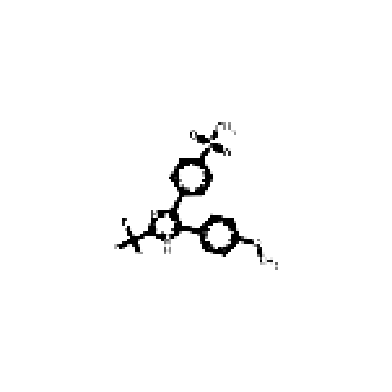 COc1ccc(-c2[nH]c(C(F)(F)F)nc2-c2ccc(S(C)(=O)=O)cc2)cc1